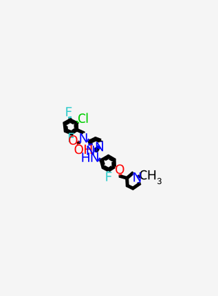 CN1CCCC(COc2ccc(Nc3nccc(N(Cc4c(F)ccc(F)c4Cl)C(=O)O)n3)cc2F)C1